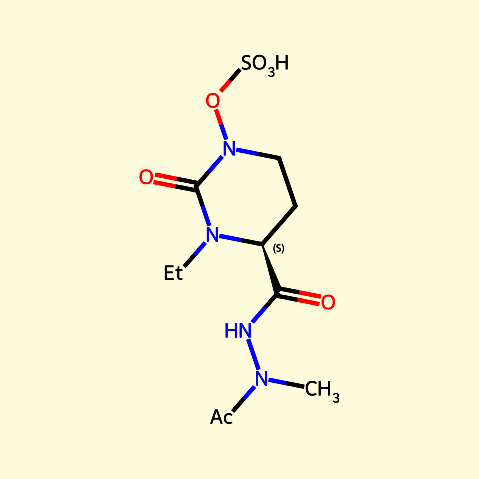 CCN1C(=O)N(OS(=O)(=O)O)CC[C@H]1C(=O)NN(C)C(C)=O